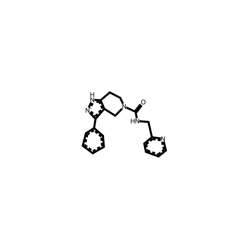 O=C(NCc1ccccn1)N1CCc2[nH]nc(-c3ccccc3)c2C1